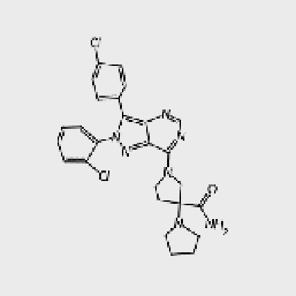 NC(=O)C1(N2CCCC2)CCN(c2ncnc3c(-c4ccc(Cl)cc4)n(-c4ccccc4Cl)nc23)C1